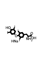 NC(Cc1cc(I)c(Oc2cc(I)c(O)c(I)c2)c(I)c1)C(=O)O.[NaH]